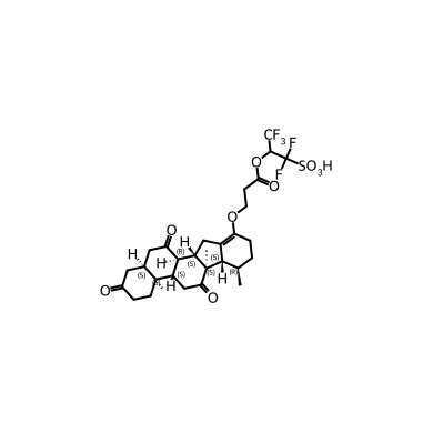 C[C@@H]1CCC(OCCC(=O)OC(C(F)(F)F)C(F)(F)S(=O)(=O)O)=C2C[C@H]3[C@@H]4C(=O)C[C@@H]5CC(=O)CC[C@]5(C)[C@H]4CC(=O)[C@]3(C)[C@H]21